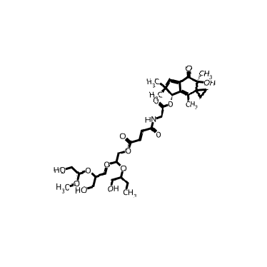 CCC(CO)OC(COC(=O)CCC(=O)NCC(=O)O[C@H]1C2=C(C)C3(CC3)[C@](C)(O)C(=O)C2=CC1(C)C)OCC(CO)OC(CO)OC